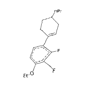 CCCC1CC=C(c2ccc(OCC)c(F)c2F)CC1